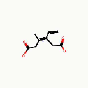 C=C/C(CC(=O)O)=C(\C)CC(=O)O